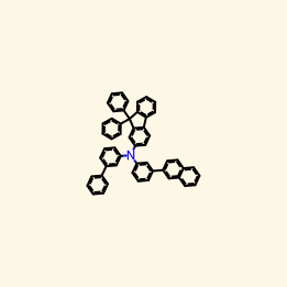 c1ccc(-c2cccc(N(c3cccc(-c4ccc5ccccc5c4)c3)c3ccc4c(c3)C(c3ccccc3)(c3ccccc3)c3ccccc3-4)c2)cc1